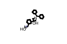 O/N=C/c1cccc(C2(O)CN(C(c3ccccc3)c3ccccc3)C2)c1